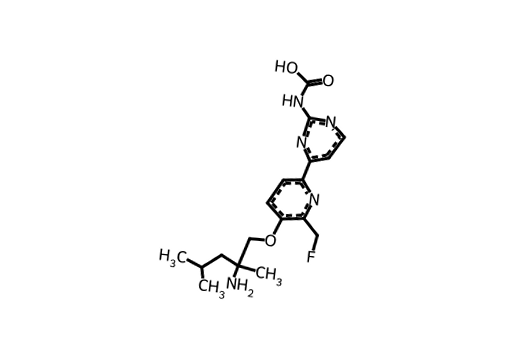 CC(C)CC(C)(N)COc1ccc(-c2ccnc(NC(=O)O)n2)nc1CF